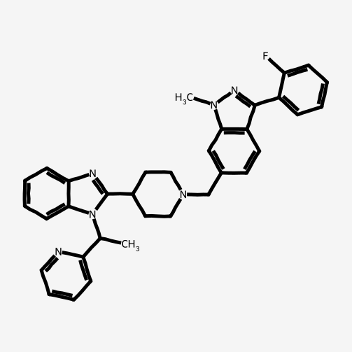 CC(c1ccccn1)n1c(C2CCN(Cc3ccc4c(-c5ccccc5F)nn(C)c4c3)CC2)nc2ccccc21